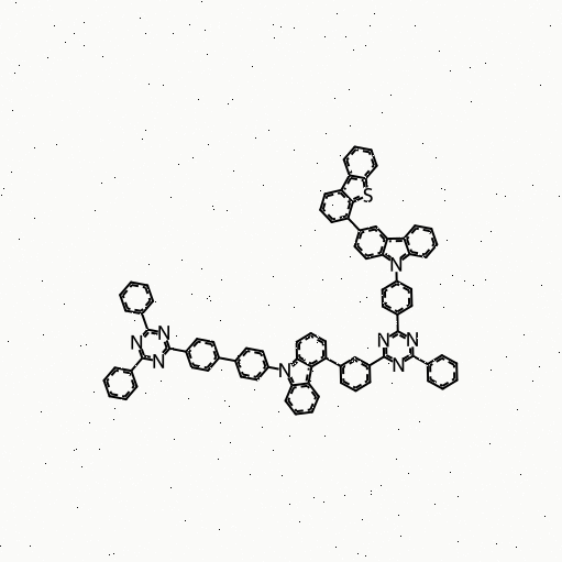 c1ccc(-c2nc(-c3ccccc3)nc(-c3ccc(-c4ccc(-n5c6ccccc6c6c(-c7cccc(-c8nc(-c9ccccc9)nc(-c9ccc(-n%10c%11ccccc%11c%11cc(-c%12cccc%13c%12sc%12ccccc%12%13)ccc%11%10)cc9)n8)c7)cccc65)cc4)cc3)n2)cc1